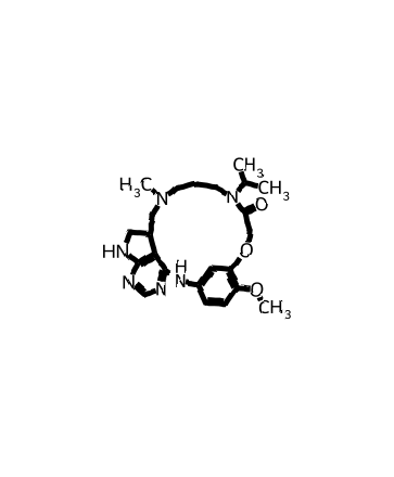 COc1ccc2cc1OCC(=O)N(C(C)C)CCCN(C)CC1CNc3ncnc(c31)N2